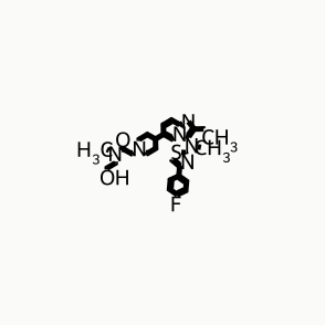 CCc1nc2ccc(C3CCN(CC(=O)N(C)CCO)CC3)cn2c1N(C)c1nc(-c2ccc(F)cc2)cs1